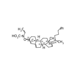 C=CN(O[C@H]1CC[C@@]2(C)C(=CC[C@H]3[C@@H]4CC[C@H]([C@H](C)CCCC(C)C)[C@@]4(C)CC[C@@H]32)C1)C(=O)O